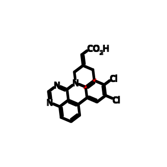 O=C(O)/C=C1\CCCN(c2ncnc3cccc(-c4ccc(Cl)c(Cl)c4)c23)C1